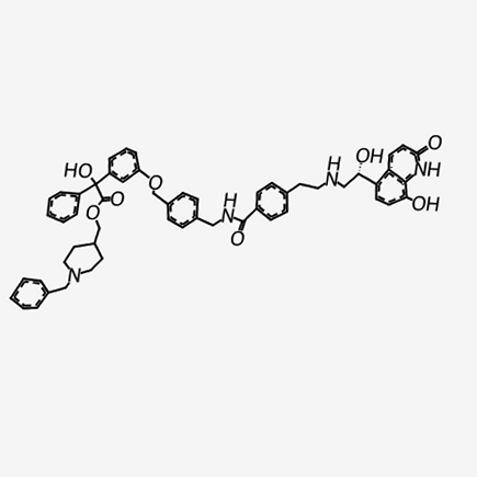 O=C(NCc1ccc(COc2cccc(C(O)(C(=O)OCC3CCN(Cc4ccccc4)CC3)c3ccccc3)c2)cc1)c1ccc(CCNC[C@H](O)c2ccc(O)c3[nH]c(=O)ccc23)cc1